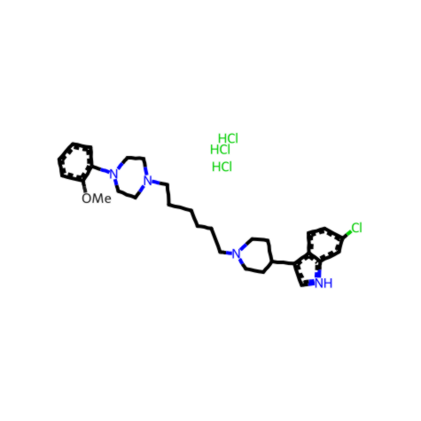 COc1ccccc1N1CCN(CCCCCCN2CCC(c3c[nH]c4cc(Cl)ccc34)CC2)CC1.Cl.Cl.Cl